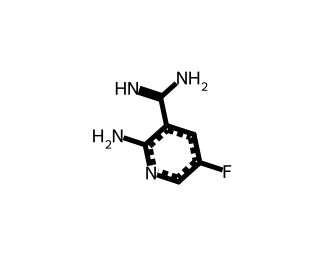 N=C(N)c1cc(F)cnc1N